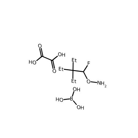 CCC(CC)(CC)C(F)ON.O=C(O)C(=O)O.OB(O)O